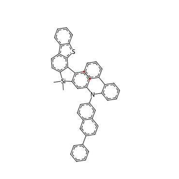 C[Si]1(C)c2cc(N(c3ccc4cc(-c5ccccc5)ccc4c3)c3ccccc3-c3ccccc3)ccc2-c2c1ccc1c2sc2ccccc21